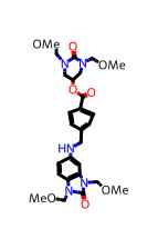 COCN1CC(OC(=O)c2ccc(CNc3ccc4c(c3)n(COC)c(=O)n4COC)cc2)CN(COC)C1=O